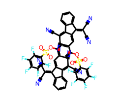 N#CC(C#N)=C1C(=Cc2cc(OS(=O)(=O)c3c(F)c(F)c(F)c(F)c3F)c(C=C3C(=C(C#N)C#N)c4ccccc4C3=C(C#N)C#N)cc2OS(=O)(=O)c2c(F)c(F)c(F)c(F)c2F)C(=C(C#N)C#N)c2ccccc21